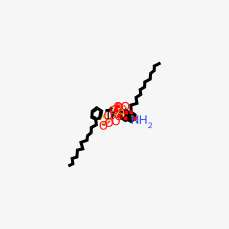 CCCCCCCCCCCCc1ccccc1S(=O)(=O)[O][Ti](=[O])([O]S(=O)(=O)c1ccccc1CCCCCCCCCCCC)([CH](C)C)[S](=O)(=O)c1ccc(N)cc1